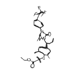 CCOC(=O)C(C)(C)Oc1c(C)cc(C(CC)n2ncn(-c3ccc(C(F)(F)F)cc3)c2=O)cc1C